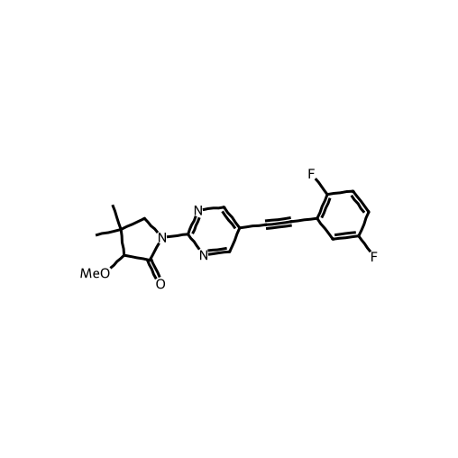 COC1C(=O)N(c2ncc(C#Cc3cc(F)ccc3F)cn2)CC1(C)C